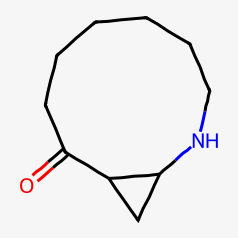 O=C1CCCCCCNC2CC12